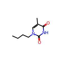 CCCCn1cc(C)c(=O)[nH]c1=O